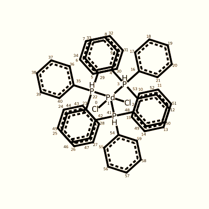 [Cl][Pd]([Cl])([PH](c1ccccc1)(c1ccccc1)c1ccccc1)([PH](c1ccccc1)(c1ccccc1)c1ccccc1)[PH](c1ccccc1)(c1ccccc1)c1ccccc1